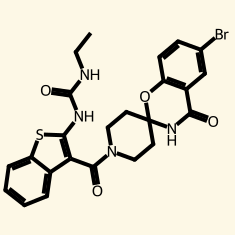 CCNC(=O)Nc1sc2ccccc2c1C(=O)N1CCC2(CC1)NC(=O)c1cc(Br)ccc1O2